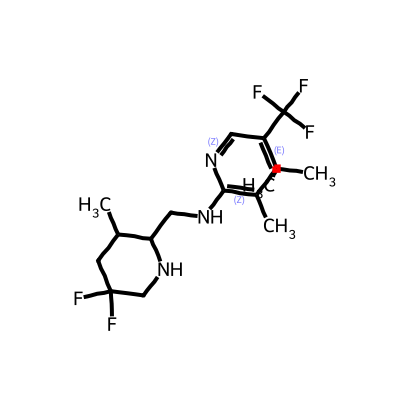 C\C=C(/C=N\C(NCC1NCC(F)(F)CC1C)=C(\C)CC)C(F)(F)F